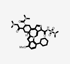 COc1ccc(C2CCCCC2)c2c1cc1n2C=C2C(=C3C[C@@H](C(=O)N(C)C)C(C(=O)CN(C)C)C[C@H]31)C=NC2C(=O)NS(=O)(=O)N(C)C